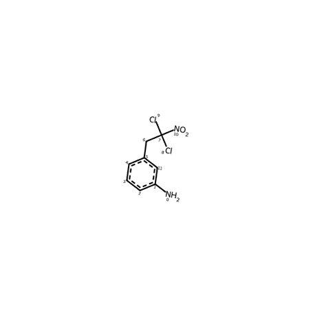 Nc1cccc(CC(Cl)(Cl)[N+](=O)[O-])c1